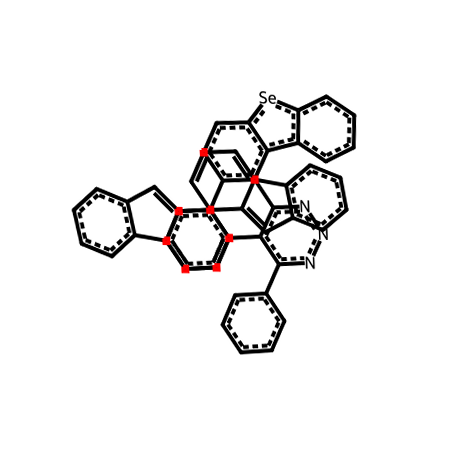 C1=CC2(C3=Cc4ccccc4C3=C1)C1=Cc3ccccc3C1=CC=C2c1c(-c2ccccc2)nnnc1-c1c(-c2ccccc2)ccc2[se]c3ccccc3c12